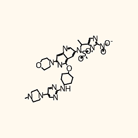 CC(c1cnc([N+](=O)[O-])n1C)N(c1cnc2cc(N3CCOCC3)nc(OC3CCC(Nc4ncc(N5CCN(C)CC5)cn4)CC3)c2c1)S(C)(=O)=O